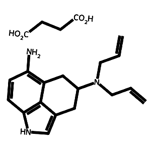 C=CCN(CC=C)C1Cc2c[nH]c3ccc(N)c(c23)C1.O=C(O)CCC(=O)O